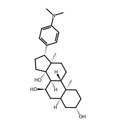 CN(C)c1ccc([C@H]2CC[C@]3(O)[C@@H]4[C@H](O)C[C@@H]5C[C@@H](O)CC[C@]5(C)[C@H]4CC[C@]23C)cc1